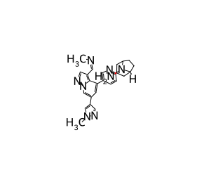 C/N=C\c1cnn2cc(-c3cnn(C)c3)cc(-c3ccc(N4C5CC[C@@H]4CC(N)C5)nc3)c12